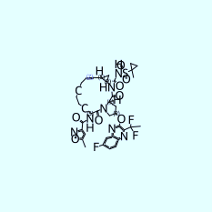 Cc1cc(C(=O)N[C@H]2CCCCC/C=C\[C@@H]3C[C@@]3(C(=O)NS(=O)(=O)C3(C)CC3)NC(=O)[C@@H]3C[C@@H](Oc4nc5cc(F)ccc5nc4C(C)(F)F)CN3C2=O)no1